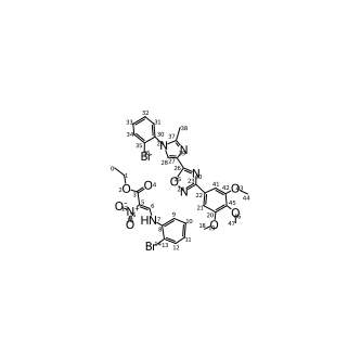 CCOC(=O)C(=CNc1ccccc1Br)[N+](=O)[O-].COc1cc(-c2noc(-c3cn(-c4ccccc4Br)c(C)n3)n2)cc(OC)c1OC